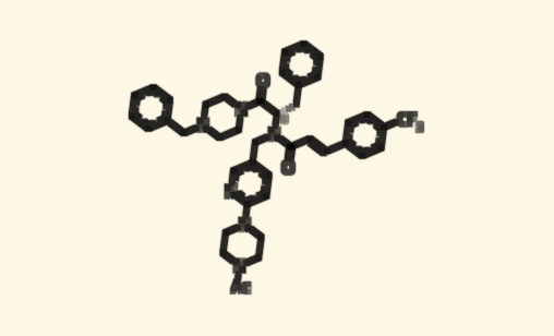 CC(=O)N1CCN(c2ccc(CN(C(=O)C=Cc3ccc(C(F)(F)F)cc3)[C@@H](Cc3ccccc3)C(=O)N3CCN(Cc4ccccc4)CC3)cn2)CC1